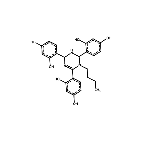 CCCCN1C(c2ccc(O)cc2O)=NC(c2ccc(O)cc2O)NC1c1ccc(O)cc1O